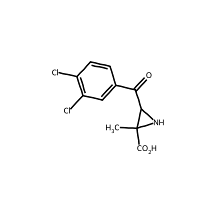 CC1(C(=O)O)NC1C(=O)c1ccc(Cl)c(Cl)c1